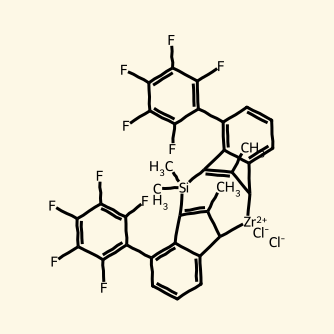 CC1=C2c3c(-c4c(F)c(F)c(F)c(F)c4F)cccc3[CH]1[Zr+2][CH]1C(C)=C(c3c(-c4c(F)c(F)c(F)c(F)c4F)cccc31)[Si]2(C)C.[Cl-].[Cl-]